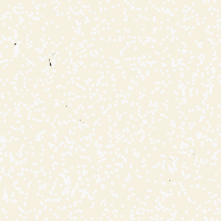 Cc1cnn(-c2ccc(-c3ccc(O[C@@H]4CCCC[C@@H]4F)nn3)c(O)c2)n1